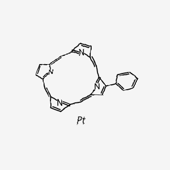 C1=CC2=NC1=CC1=NC(=CC3=NC(=CC4=NC(=C2)C=C4)C=C3c2ccccc2)C=C1.[Pt]